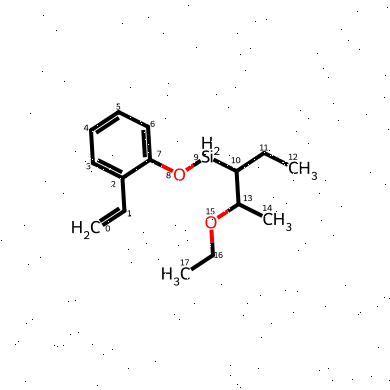 C=Cc1ccccc1O[SiH2]C(CC)C(C)OCC